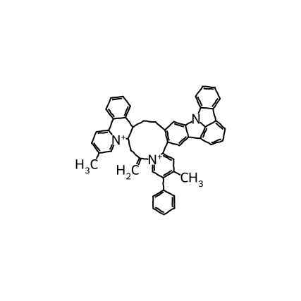 C=C1CC2C(CCc3cc4c(cc3-c3cc(C)c(-c5ccccc5)c[n+]31)c1cccc3c5ccccc5n4c31)c1ccccc1-c1ccc(C)c[n+]12